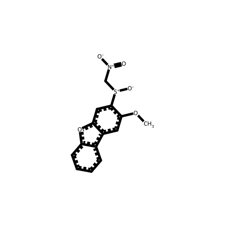 COc1cc2c(cc1[S+]([O-])C[N+](=O)[O-])oc1ccccc12